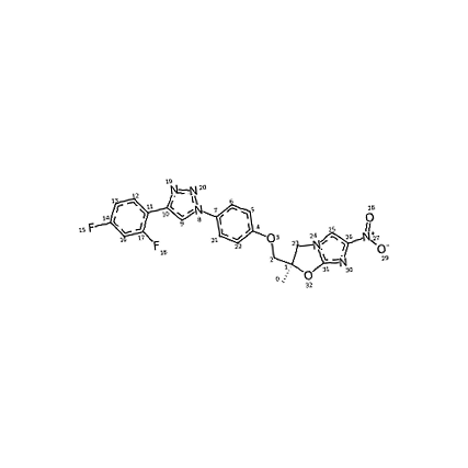 C[C@]1(COc2ccc(-n3cc(-c4ccc(F)cc4F)nn3)cc2)Cn2cc([N+](=O)[O-])nc2O1